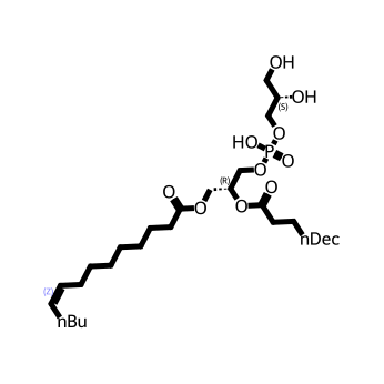 CCCC/C=C\CCCCCCCC(=O)OC[C@H](COP(=O)(O)OC[C@@H](O)CO)OC(=O)CCCCCCCCCCCC